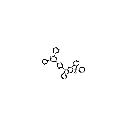 O=P1(c2ccccc2)c2ccccc2-c2cc3c(cc21)c1ccccc1n3-c1ccc(-c2cc(-c3ccccc3)nc(-c3ccccc3)n2)cc1